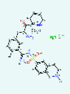 Cc1ccc(CC(N)C(=O)[C@@]2(C(=O)O)CC=CCN2)cc1C(=N)NS(=O)(=O)c1ccc2c(c1)CCN(C)C2.Cl.Cl